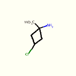 NC1(C(=O)O)CC(Cl)C1